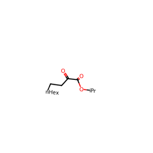 CCCCCCCCC(=O)C(=O)OC(C)C